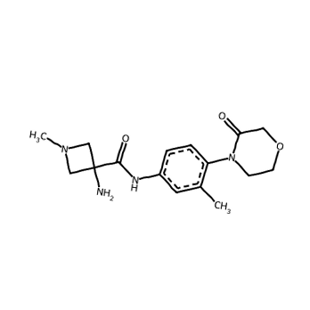 Cc1cc(NC(=O)C2(N)CN(C)C2)ccc1N1CCOCC1=O